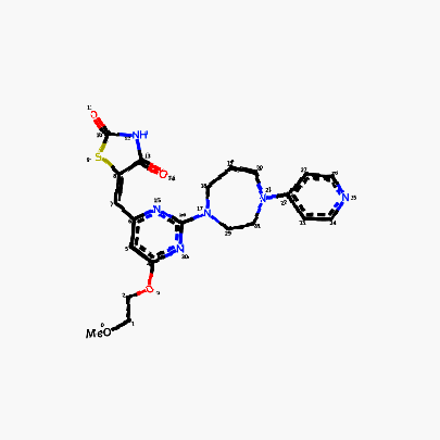 COCCOc1cc(C=C2SC(=O)NC2=O)nc(N2CCCN(c3ccncc3)CC2)n1